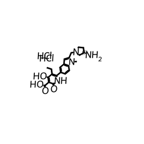 CCc1c(-c2ccc3c(c2)cc(CN2CC[C@H](N)C2)n3C)[nH]c(=O)c(C(=O)O)c1O.Cl.Cl